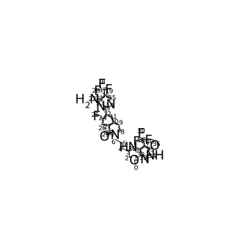 COC[C@@H](CCCn1ccc2cc(-c3ncc(C(F)(F)F)c(N)n3)c(F)cc2c1=O)Nc1cn[nH]c(=O)c1C(F)(F)F